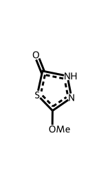 COc1n[nH]c(=O)s1